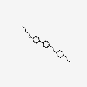 CCCCOc1ccc(-c2ccc(CCC3CCC(CCC)CC3)cc2)cc1